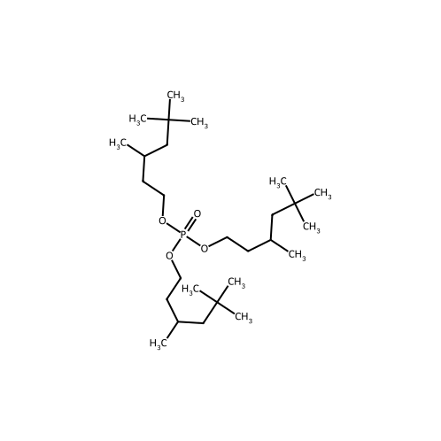 CC(CCOP(=O)(OCCC(C)CC(C)(C)C)OCCC(C)CC(C)(C)C)CC(C)(C)C